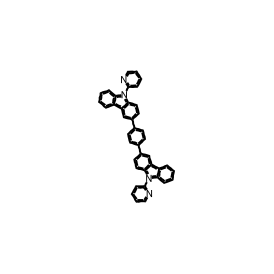 c1ccc(-n2c3ccccc3c3cc(-c4ccc(-c5ccc6c(c5)c5ccccc5n6-c5ccccn5)cc4)ccc32)nc1